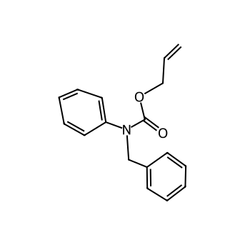 C=CCOC(=O)N(Cc1ccccc1)c1ccccc1